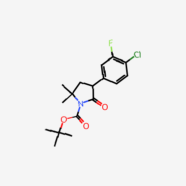 CC(C)(C)OC(=O)N1C(=O)C(c2ccc(Cl)c(F)c2)CC1(C)C